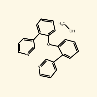 CO.c1cncc(-c2ccccc2Oc2ccccc2-c2cccnc2)c1